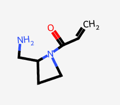 C=CC(=O)N1CCC1CN